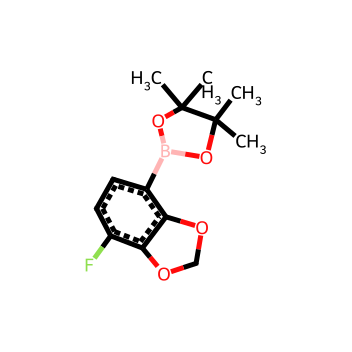 CC1(C)OB(c2ccc(F)c3c2OCO3)OC1(C)C